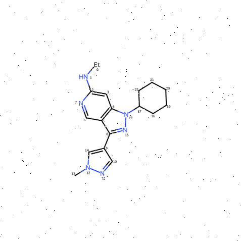 CCNc1cc2c(cn1)c(-c1cnn(C)c1)nn2C1CCCCC1